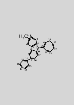 Cc1ccc2c(c1)c1cc(-c3ccccc3)ccc1n2C1=CCC=CC=C1